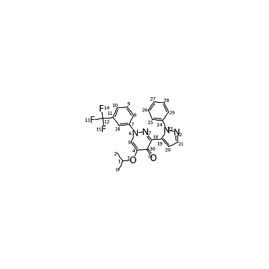 CC(C)Oc1cn(-c2cccc(C(F)(F)F)c2)nc(-c2ccnn2-c2ccccc2)c1=O